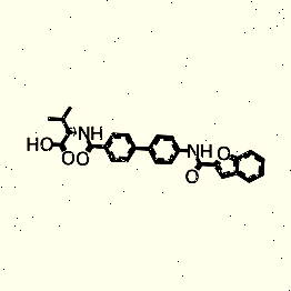 CC(C)[C@H](NC(=O)c1ccc(-c2ccc(NC(=O)c3cc4ccccc4o3)cc2)cc1)C(=O)O